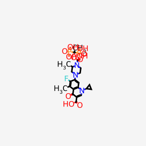 Cc1c(F)c(N2CCN(C(=O)OC(C)(P(=O)(O)O)P(=O)(O)O)C(C)C2)cc2c1c(=O)c(C(=O)O)cn2C1CC1